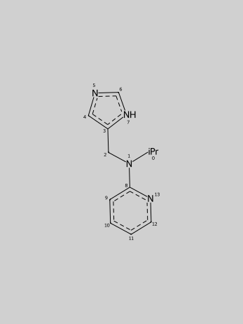 CC(C)N(Cc1cnc[nH]1)c1ccccn1